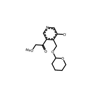 COCC(=O)c1cncc(Cl)c1COC1CCCCO1